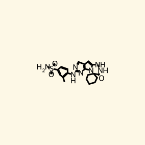 Cc1cc(S(N)(=O)=O)ccc1Nc1ncc2cc3n(c2n1)C1(CCCCC1)C(=O)NN3